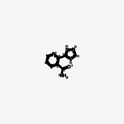 NC(=O)c1cccnc1-c1nncs1